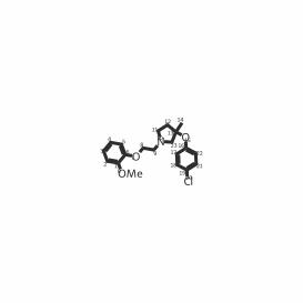 COc1ccccc1OCCN1CCC(C)(Oc2ccc(Cl)cc2)C1